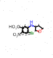 O=C(O)c1cc(NC2CCOC2)c(Br)cc1[N+](=O)[O-]